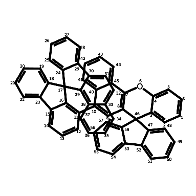 c1ccc2c(c1)Oc1c(cc(-c3cccc4c3C3(c5ccccc5-4)c4ccccc4-c4ccc5ccccc5c43)c3ccccc13)C21c2ccccc2-c2ccccc21